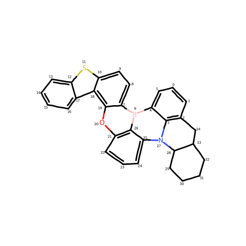 c1cc2c3c(c1)B1c4ccc5sc6ccccc6c5c4Oc4cccc(c41)N3C1CCCCC1C2